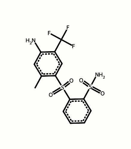 Cc1cc(N)c(C(F)(F)F)cc1S(=O)(=O)c1ccccc1S(N)(=O)=O